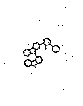 C1=CCC(C2C=CC=C(c3ccc4c5ccccc5n(-c5cccc6sc7ccccc7c56)c4c3)N2)C=C1